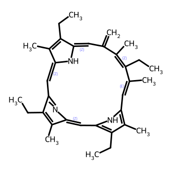 C=C1/C=c2\[nH]/c(c(C)c2CC)=C\C2=NC(=C\c3[nH]c(c(C)c3CC)/C=C(C)/C(CC)=C\1C)/C(C)=C2CC